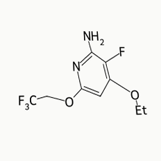 CCOc1cc(OCC(F)(F)F)nc(N)c1F